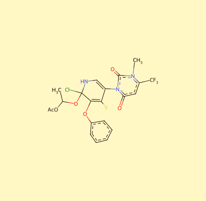 CC(=O)OC(C)OC1(Cl)NC=C(n2c(=O)cc(C(F)(F)F)n(C)c2=O)C(F)=C1Oc1ccccc1